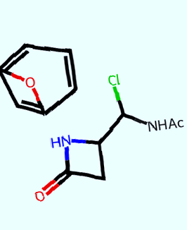 CC(=O)NC(Cl)C1CC(=O)N1.c1cc2cc(c1)O2